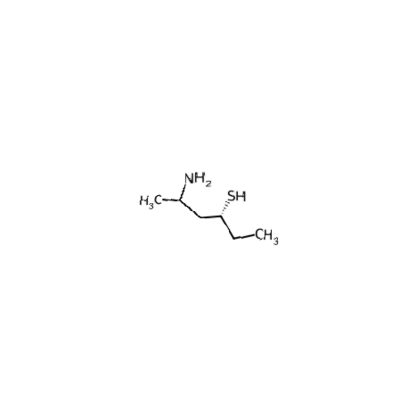 CC[C@@H](S)CC(C)N